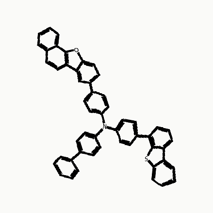 c1ccc(-c2ccc(N(c3ccc(-c4ccc5oc6c7ccccc7ccc6c5c4)cc3)c3ccc(-c4cccc5c4sc4ccccc45)cc3)cc2)cc1